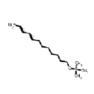 C/C=C/C=C/CCCCCCCO[Si](C)(C)C